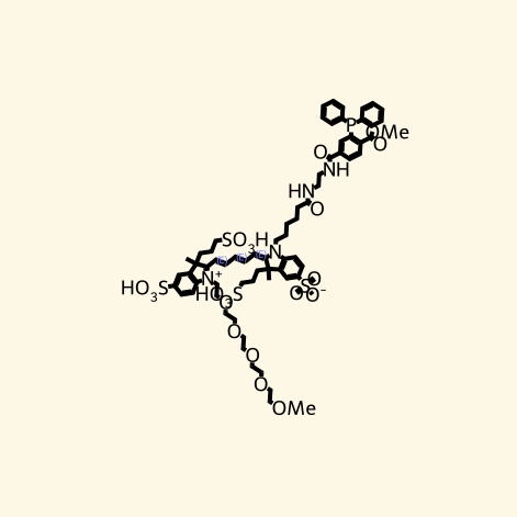 COCCOCCOCCOCCOCC[N+]1=C(/C=C/C=C/C=C2/N(CCCCCC(=O)NCCNC(=O)c3ccc(C(=O)OC)c(P(c4ccccc4)c4ccccc4)c3)c3ccc(S(=O)(=O)[O-])cc3C2(C)CCCS(=O)(=O)O)C(C)(CCCS(=O)(=O)O)c2cc(S(=O)(=O)O)ccc21